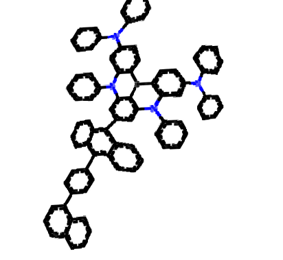 c1ccc(N(c2ccccc2)c2ccc3c(c2)N(c2ccccc2)c2cc(-c4c5ccccc5c(-c5ccc(-c6cccc7ccccc67)cc5)c5ccccc45)cc4c2B3c2ccc(N(c3ccccc3)c3ccccc3)cc2N4c2ccccc2)cc1